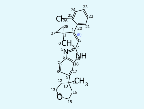 CC1(/C(=C\c2nc3ccc(C4(C)CCOCC4)cc3[nH]2)c2ccccc2Cl)CC1